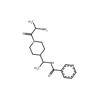 CC(N)C(=O)N1CCC(C(C)NC(=O)c2cccnc2)CC1